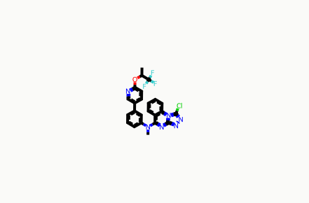 CC(Oc1ccc(-c2cccc(N(C)c3nc4nnc(Cl)n4c4ccccc34)c2)cn1)C(F)(F)F